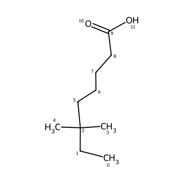 CCC(C)(C)CCCCC(=O)O